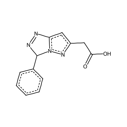 O=C(O)Cc1cc2n(n1)C(c1ccccc1)N=N2